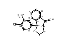 Nc1cc(C23SCCN2C(=O)c2ccccc23)ccc1Cl